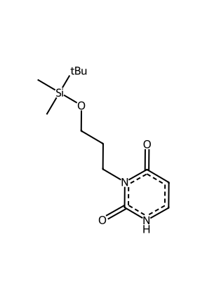 CC(C)(C)[Si](C)(C)OCCCn1c(=O)cc[nH]c1=O